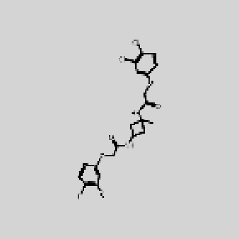 CC1(NC(=O)COc2ccc(Cl)c(Cl)c2)CC(NC(=O)COc2ccc(F)c(Cl)c2)C1